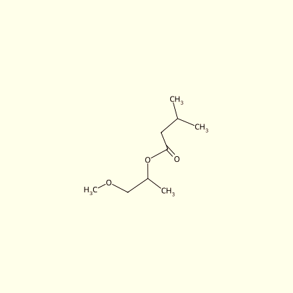 COCC(C)OC(=O)CC(C)C